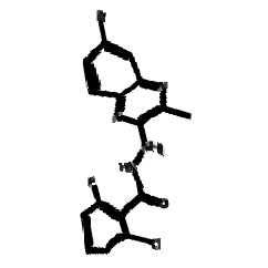 Cc1nc2cc(Br)ccc2nc1NNC(=O)c1c(F)cccc1Cl